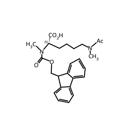 CC(=O)N(C)CCCC[C@@H](C(=O)O)N(C)C(=O)OCC1c2ccccc2-c2ccccc21